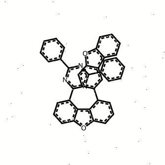 c1ccc(-c2nc(-c3ccccc3)nc(-c3cccc4oc5cccc(-c6ccc7oc8ccccc8c7c6)c5c34)n2)cc1